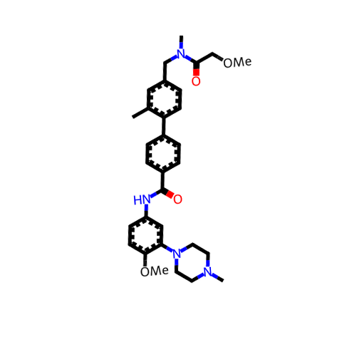 COCC(=O)N(C)Cc1ccc(-c2ccc(C(=O)Nc3ccc(OC)c(N4CCN(C)CC4)c3)cc2)c(C)c1